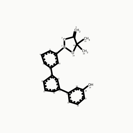 C=C1OB(c2cccc(-c3cccc(-c4cccc(O)c4)c3)c2)OC1(C)C